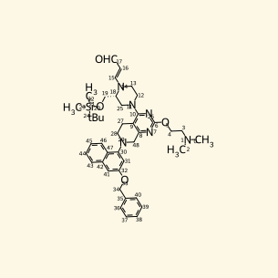 CN(C)CCOc1nc2c(c(N3CCN(C=CC=O)[C@@H](CO[Si](C)(C)C(C)(C)C)C3)n1)CCN(c1cc(OCc3ccccc3)cc3ccccc13)C2